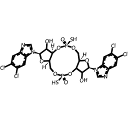 O=P1(S)OC[C@H]2O[C@@H](n3cnc4cc(Cl)c(Cl)cc43)C(O)[C@H]2OP(=O)(S)OC[C@H]2O[C@@H](n3cnc4cc(Cl)c(Cl)cc43)C(O)C2O1